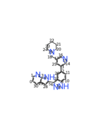 c1cnc2[nH]c(-c3n[nH]c4ccc(-c5cncc(CN6CCCCC6)c5)cc34)cc2c1